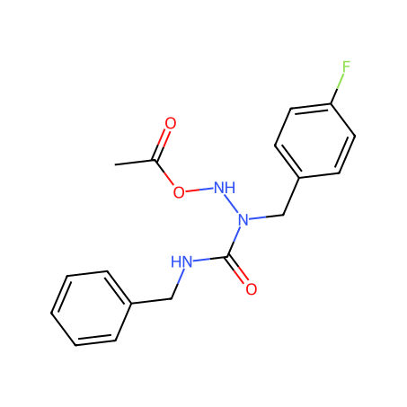 CC(=O)ONN(Cc1ccc(F)cc1)C(=O)NCc1ccccc1